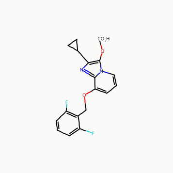 O=C(O)Oc1c(C2CC2)nc2c(OCc3c(F)cccc3F)cccn12